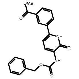 COC(=O)c1cccc(-c2ccc(NC(=O)OCc3ccccc3)c(=O)[nH]2)c1